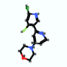 Fc1cc(Cl)ncc1-c1cc(N2CCOCC2)ccn1